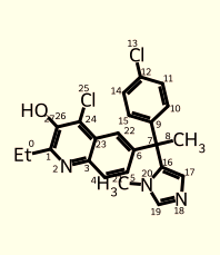 CCc1nc2ccc(C(C)(c3ccc(Cl)cc3)c3cncn3C)cc2c(Cl)c1O